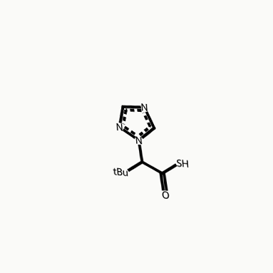 CC(C)(C)C(C(=O)S)n1cncn1